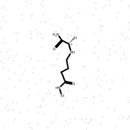 CCNC(=O)CCCN[C@@H](CC)C(N)=O